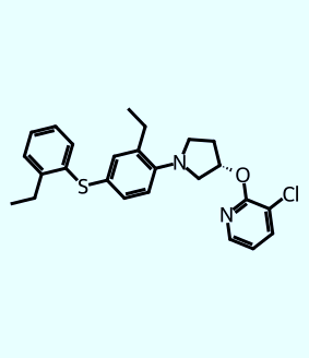 CCc1ccccc1Sc1ccc(N2CC[C@H](Oc3ncccc3Cl)C2)c(CC)c1